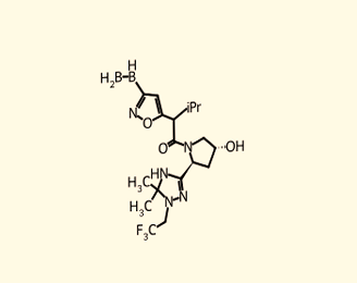 BBc1cc(C(C(=O)N2C[C@H](O)C[C@H]2C2=NN(CC(F)(F)F)C(C)(C)N2)C(C)C)on1